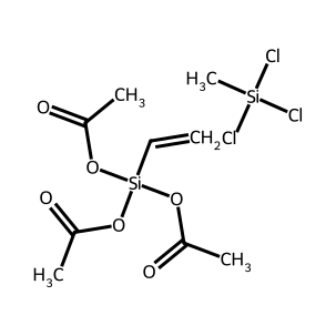 C=C[Si](OC(C)=O)(OC(C)=O)OC(C)=O.C[Si](Cl)(Cl)Cl